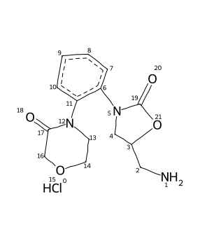 Cl.NCC1CN(c2ccccc2N2CCOCC2=O)C(=O)O1